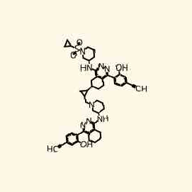 C#Cc1ccc(-c2nnc(N[C@@H]3CCCN(CC4CC4C4CCc5c(-c6ccc(C#C)cc6O)nnc(N[C@@H]6CCCN(S(=O)(=O)C7CC7)C6)c5C4)C3)c3c2CCCC3)c(O)c1